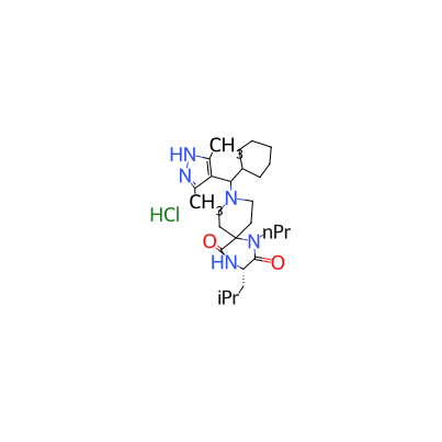 CCCN1C(=O)[C@H](CC(C)C)NC(=O)C12CCN(C(c1c(C)n[nH]c1C)C1CCCCC1)CC2.Cl